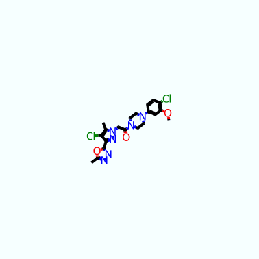 COc1cc(N2CCN(C(=O)Cn3nc(-c4nnc(C)o4)c(Cl)c3C)CC2)ccc1Cl